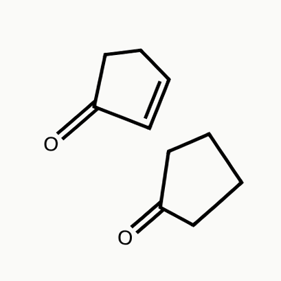 O=C1C=CCC1.O=C1CCCC1